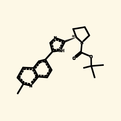 Cc1ccc2cc(-c3cnc([C@@H]4CCCN4C(=O)OC(C)(C)C)[nH]3)ccc2n1